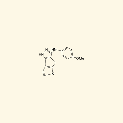 COc1ccc(Nc2n[nH]c3c2Cc2sccc2-3)cc1